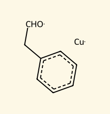 O=[C]Cc1ccccc1.[Cu]